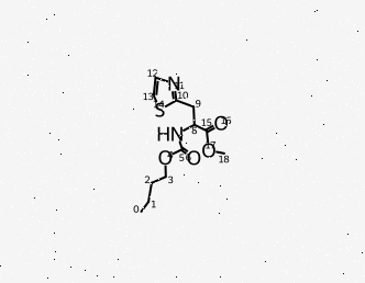 CCCCOC(=O)NC(Cc1nccs1)C(=O)OC